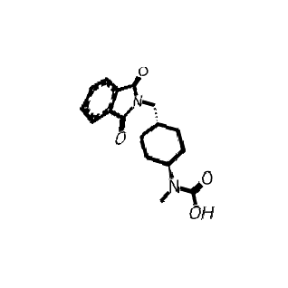 CN(C(=O)O)[C@H]1CC[C@H](CN2C(=O)c3ccccc3C2=O)CC1